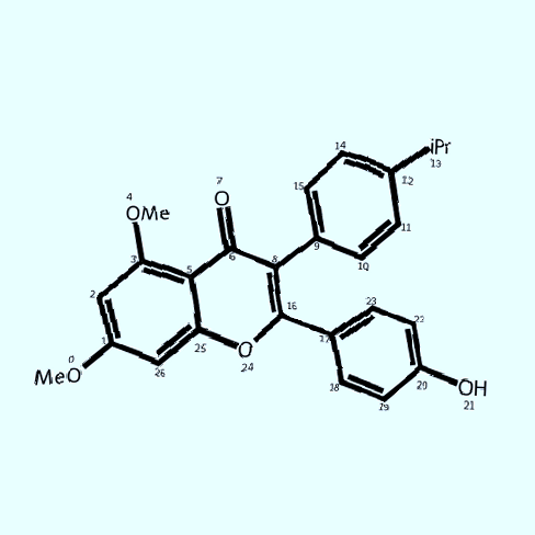 COc1cc(OC)c2c(=O)c(-c3ccc(C(C)C)cc3)c(-c3ccc(O)cc3)oc2c1